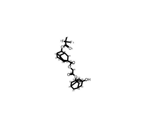 CC(F)(F)C(=O)OC1C2CC3CC1CC(C(=O)OCC(=O)OC14CC5CC(CC(O)(C5)C1)C4)(C3)C2